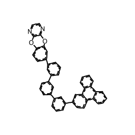 c1cc(-c2cccc(-c3ccc4c(c3)Oc3nccnc3O4)c2)cc(-c2cccc(-c3ccc4c5ccccc5c5ccccc5c4c3)c2)c1